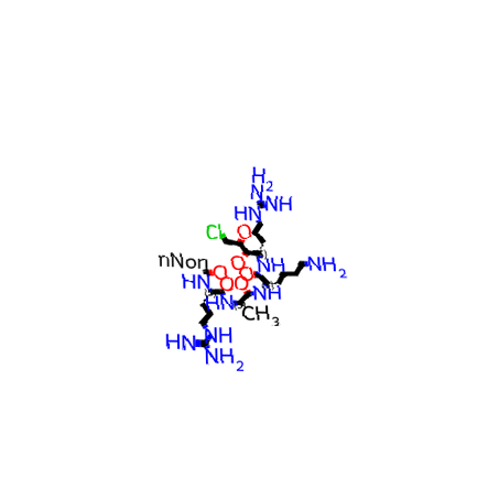 CCCCCCCCCC(=O)N[C@@H](CCCNC(=N)N)C(=O)N[C@@H](C)C(=O)N[C@@H](CCCCN)C(=O)N[C@@H](CCCNC(=N)N)C(=O)C(=O)CCl